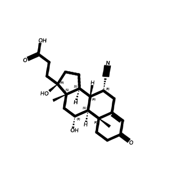 C[C@]12CCC(=O)C=C1C[C@@H](C#N)[C@@H]1[C@@H]2[C@H](O)C[C@@]2(C)[C@H]1CC[C@@]2(O)CCC(=O)O